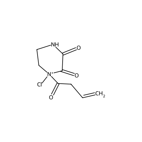 C=CCC(=O)[N+]1(Cl)CCNC(=O)C1=O